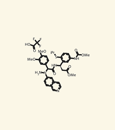 COC(=O)C[C@@H](NC(=O)C(c1ccc(OC)c(OC)c1)N(N)c1ccc2cnccc2c1)c1cc(NC(=O)OC)ccc1SC(C)C.O=C(O)C(F)(F)F